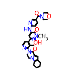 Cn1nc(-c2ccnc(N3CCn4c(cc5c4CCCC5)C3=O)c2CO)cc(Nc2ccc(C(=O)N3CCOCC3)cn2)c1=O